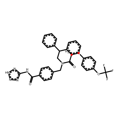 CC(Oc1ccc(OC(F)(F)F)cc1)C(=O)N(Cc1ccc(C(=O)Nc2nn[nH]n2)cc1)CC(c1ccccc1)c1ccccc1